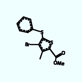 COC(=O)c1sc(Sc2ccccc2)c(Br)c1C